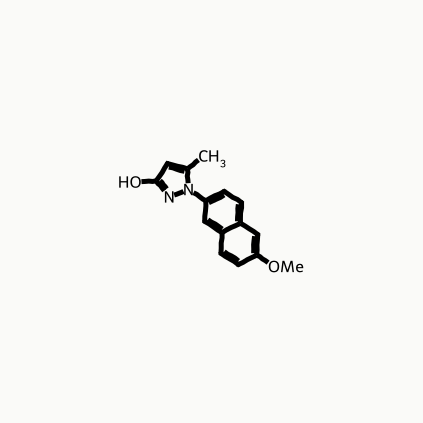 COc1ccc2cc(-n3nc(O)cc3C)ccc2c1